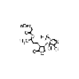 CCCCCCCCCCCC(=O)OC(C)CC[C@@H]1C(=O)OC[C@@H]1CC1(Cl)C(Cl)N=CN1C